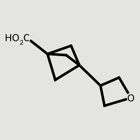 O=C(O)C12CC(C3COC3)(C1)C2